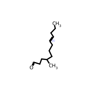 CCC/C=C/CCCC(C)CC[C]=O